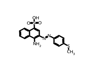 CSc1ccc(N=Nc2cc(S(=O)(=O)O)c3ccccc3c2N)cc1